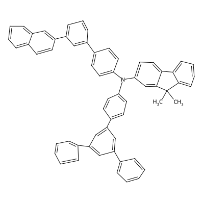 CC1(C)c2ccccc2-c2ccc(N(c3ccc(-c4cccc(-c5ccc6ccccc6c5)c4)cc3)c3ccc(-c4cc(-c5ccccc5)cc(-c5ccccc5)c4)cc3)cc21